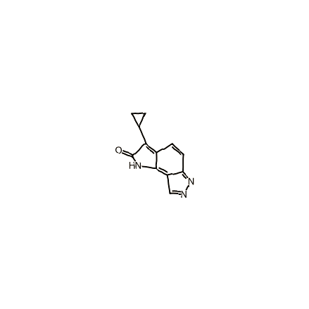 O=C1Nc2c3c(ccc2=C1C1CC1)=NN=C3